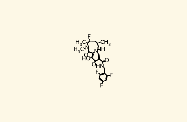 C[C@@H]1C[C@H](F)[C@H](C)N(C)C(=O)c2c(O)c(=O)c(C(=O)NCc3c(F)cc(F)cc3F)cn2N1